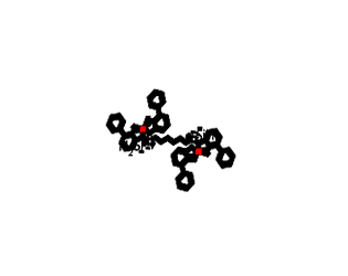 CCC1=Cc2c(-c3ccccc3)cccc2[CH]1[Hf]([CH3])([CH3])([CH2]CCCC[CH2][Hf]([CH3])([CH3])([SiH2]C)([CH]1C(CC)=Cc2c(-c3ccccc3)cccc21)[CH]1C(CC)=Cc2c(-c3ccccc3)cccc21)([SiH2]C)[CH]1C(CC)=Cc2c(-c3ccccc3)cccc21